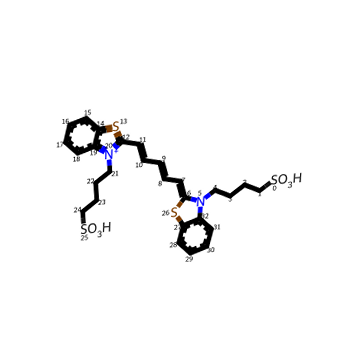 O=S(=O)(O)CCCCN1/C(=C/C=C/C=C/c2sc3ccccc3[n+]2CCCCS(=O)(=O)O)Sc2ccccc21